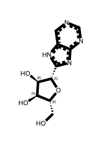 OC[C@H]1O[C@@H](c2nc3ncncc3[nH]2)[C@H](O)[C@@H]1O